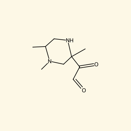 CC1CNC(C)(C(=O)C=O)CN1C